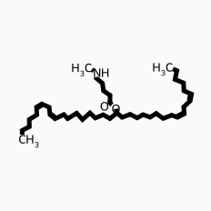 CCCCC/C=C\C/C=C\CCCCCCCCC(CCCCCCCC/C=C\C/C=C\CCCCC)OC(=O)CCCCNC